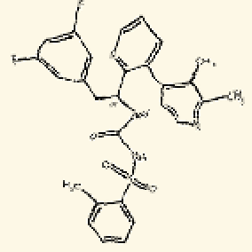 Cc1ccccc1S(=O)(=O)NC(=O)N[C@@H](Cc1cc(F)cc(F)c1)c1ncccc1-c1ccnc(C)c1C